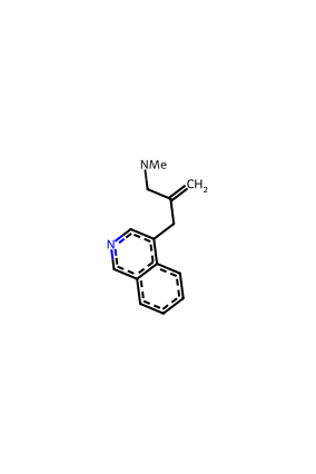 C=C(CNC)Cc1cncc2ccccc12